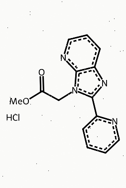 COC(=O)Cn1c(-c2ccccn2)nc2cccnc21.Cl